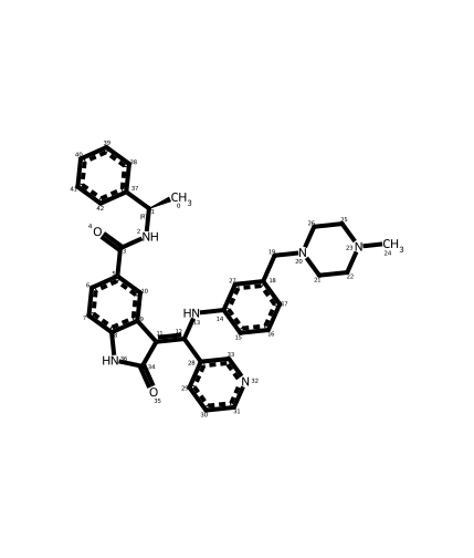 C[C@@H](NC(=O)c1ccc2c(c1)C(=C(Nc1cccc(CN3CCN(C)CC3)c1)c1cccnc1)C(=O)N2)c1ccccc1